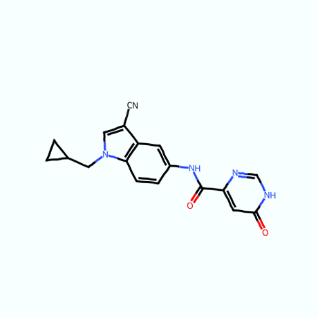 N#Cc1cn(CC2CC2)c2ccc(NC(=O)c3cc(=O)[nH]cn3)cc12